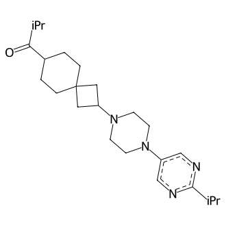 CC(C)C(=O)C1CCC2(CC1)CC(N1CCN(c3cnc(C(C)C)nc3)CC1)C2